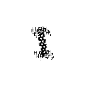 CC(C)[Si](c1ccc2c(ccc3c2ccc2c4ccc5cc([Si](C(C)C)(C(C)C)C(C)C)ccc5c4ccc32)c1)(C(C)C)C(C)C